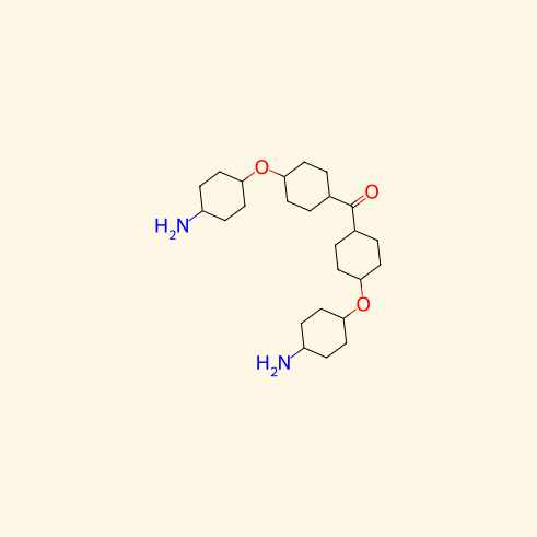 NC1CCC(OC2CCC(C(=O)C3CCC(OC4CCC(N)CC4)CC3)CC2)CC1